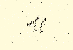 CC(C)CCCC#N.CC(C)CCCC#N.F.F